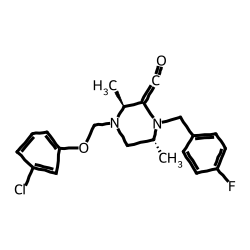 C[C@@H]1CN(COc2cccc(Cl)c2)[C@@H](C)C(=C=O)N1Cc1ccc(F)cc1